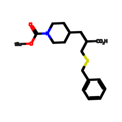 CC(C)(C)OC(=O)N1CCC(CC(CSCc2ccccc2)C(=O)O)CC1